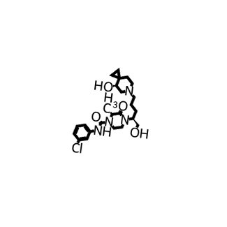 C[C@H]1C(=O)N([C@H](CO)CCCN2CCC3(CC3)[C@H](O)C2)CCN1C(=O)Nc1cccc(Cl)c1